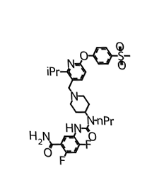 CCCN(C(=O)Nc1cc(C(N)=O)c(F)cc1F)C1CCN(Cc2ccc(Oc3ccc(S(C)(=O)=O)cc3)nc2C(C)C)CC1